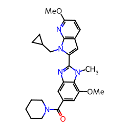 COc1ccc2cc(-c3nc4cc(C(=O)N5CCCCC5)cc(OC)c4n3C)n(CC3CC3)c2n1